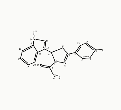 Cc1ccc(C2=NN(C(N)=S)C(c3cn(C)c4ccccc34)C2)cc1